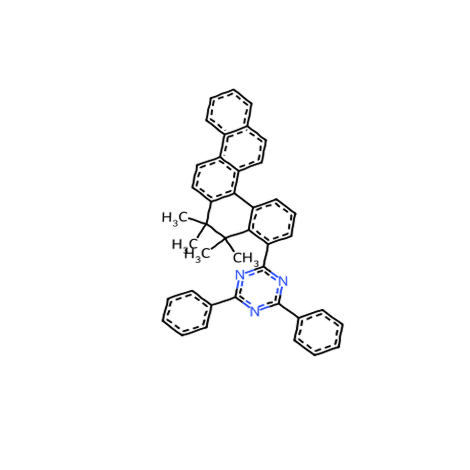 CC1(C)c2ccc3c(ccc4ccccc43)c2-c2cccc(-c3nc(-c4ccccc4)nc(-c4ccccc4)n3)c2C1(C)C